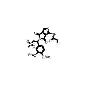 CCOc1cc(C(CS(C)(=O)=O)N2C(=O)c3csc(NC(=O)CCl)c3C2=O)ccc1OC